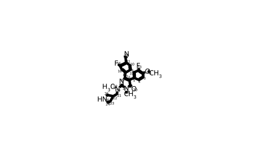 COc1ccc(-c2c(-c3ccc(C#N)c(F)c3)nc(N(C)CC3CCNC3)n(C)c2=O)cc1F